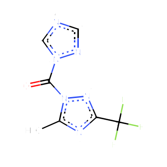 Cc1nc(C(F)(F)F)nn1C(=O)n1cncn1